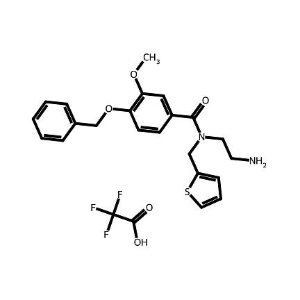 COc1cc(C(=O)N(CCN)Cc2cccs2)ccc1OCc1ccccc1.O=C(O)C(F)(F)F